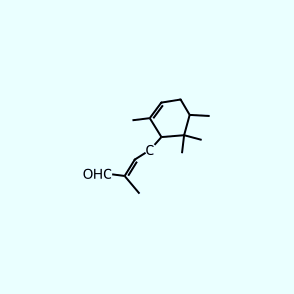 CC(C=O)=CCC1C(C)=CCC(C)C1(C)C